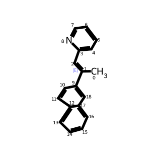 C/C(=C\c1ccccn1)c1ccc2ccccc2c1